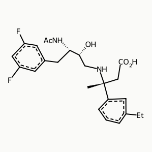 CCc1cccc([C@@](C)(CC(=O)O)NC[C@@H](O)[C@H](Cc2cc(F)cc(F)c2)NC(C)=O)c1